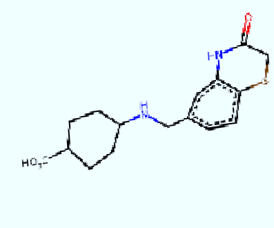 O=C1CSc2ccc(CNC3CCC(C(=O)O)CC3)cc2N1